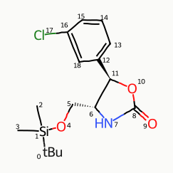 CC(C)(C)[Si](C)(C)OC[C@H]1NC(=O)O[C@@H]1c1cccc(Cl)c1